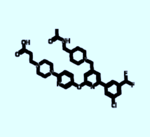 CC(=O)NCC1CCN(Cc2cc(Oc3ccc(N4CCN(CCC(=O)O)CC4)nc3)nc(-c3cc(Cl)cc(C(F)F)c3)c2)CC1